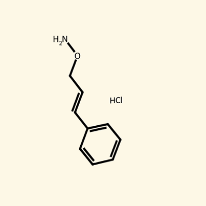 Cl.NOCC=Cc1ccccc1